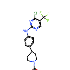 O=C(O)N1CCC(c2ccc(Nc3ncc(C(F)(F)F)c(Cl)n3)cc2)CC1